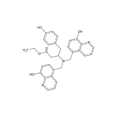 CCOC(=O)CC(Cc1ccc(O)cc1)N(Cc1ccc(O)c2ncccc12)Cc1ccc(O)c2ncccc12